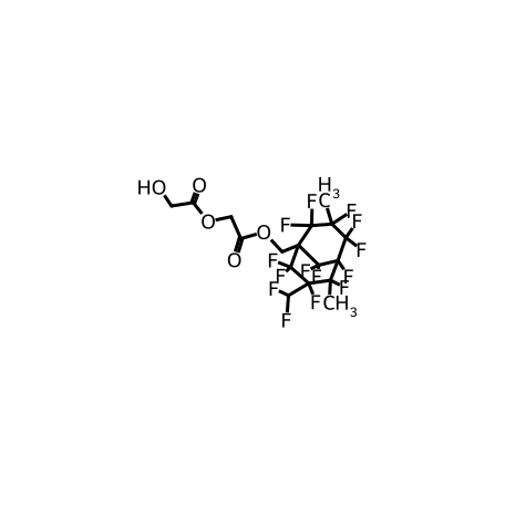 CC1(F)C(F)(F)C2(F)C(C)(F)C(F)(C(F)F)C(F)(F)C(COC(=O)COC(=O)CO)(C1(F)F)C2(F)F